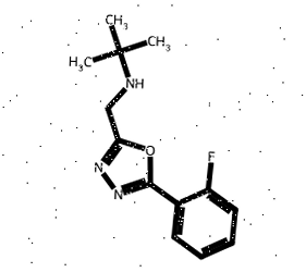 CC(C)(C)NCc1nnc(-c2ccccc2F)o1